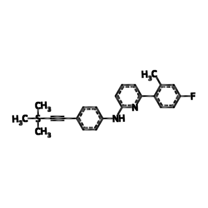 Cc1cc(F)ccc1-c1cccc(Nc2ccc(C#CS(C)(C)C)cc2)n1